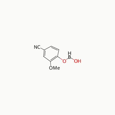 COc1cc(C#N)ccc1OBO